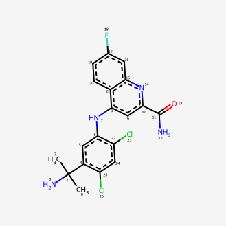 CC(C)(N)c1cc(Nc2cc(C(N)=O)nc3cc(F)ccc23)c(Cl)cc1Cl